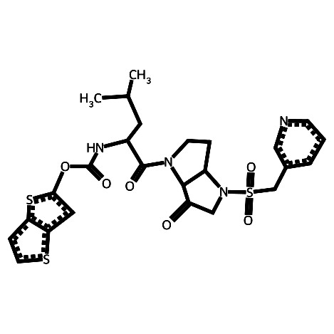 CC(C)CC(NC(=O)Oc1cc2sccc2s1)C(=O)N1CCC2C1C(=O)CN2S(=O)(=O)Cc1cccnc1